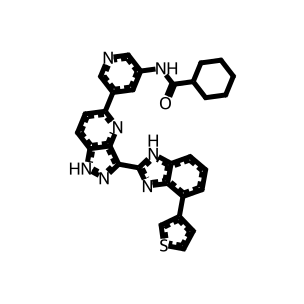 O=C(Nc1cncc(-c2ccc3[nH]nc(-c4nc5c(-c6ccsc6)cccc5[nH]4)c3n2)c1)C1CCCCC1